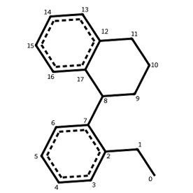 CCc1ccccc1C1CCCc2ccccc21